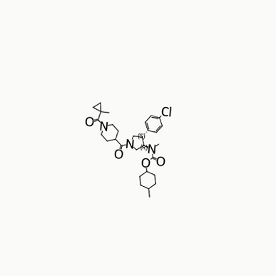 CC1CCC(OC(=O)N(C)[C@H]2CN(C(=O)C3CCN(C(=O)C4(C)CC4)CC3)C[C@@H]2c2ccc(Cl)cc2)CC1